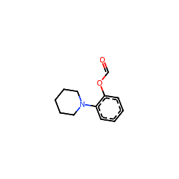 O=COc1ccccc1N1CCCCC1